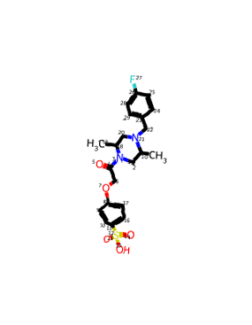 CC1CN(C(=O)COc2ccc(S(=O)(=O)O)cc2)C(C)CN1Cc1ccc(F)cc1